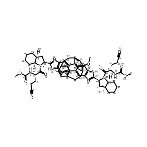 COC(=O)N[C@@H](CCC#N)C(=O)N1[C@H](c2nc3cc(-c4cc5c(OC)cc4CCc4ccc(c(-c6ccc7[nH]c([C@@H]8C[C@@H]9CCCC[C@@H]9N8C(=O)[C@H](CCC#N)NC(=O)OC)nc7c6)c4)CC5)ccc3[nH]2)C[C@@H]2CCCC[C@@H]21